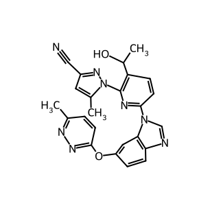 Cc1ccc(Oc2ccc3ncn(-c4ccc(C(C)O)c(-n5nc(C#N)cc5C)n4)c3c2)nn1